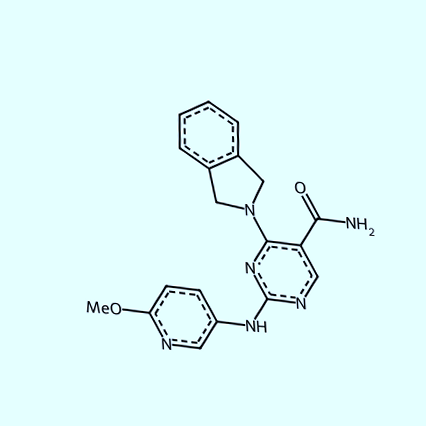 COc1ccc(Nc2ncc(C(N)=O)c(N3Cc4ccccc4C3)n2)cn1